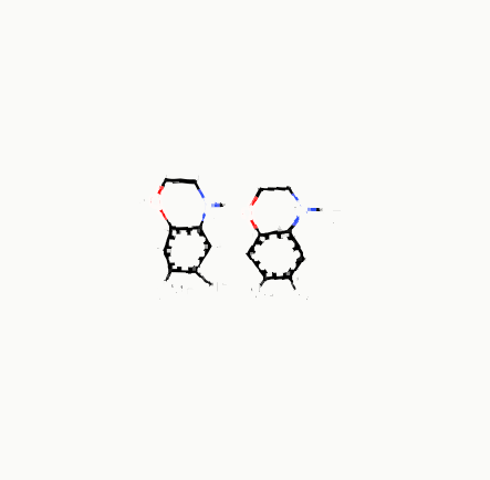 COc1cc2c(cc1C(C)=O)N(C)CCO2.COc1cc2c(cc1C(C)C)N(C)CCO2